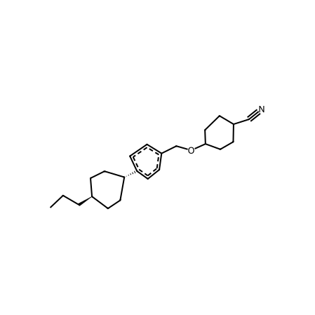 CCC[C@H]1CC[C@H](c2ccc(COC3CCC(C#N)CC3)cc2)CC1